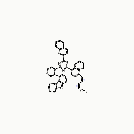 C/C=C\C=C/c1ccc(-c2nc(-c3ccc4ccccc4c3)nc(-c3ccccc3-c3cccc4oc5ccccc5c34)n2)c2ccccc12